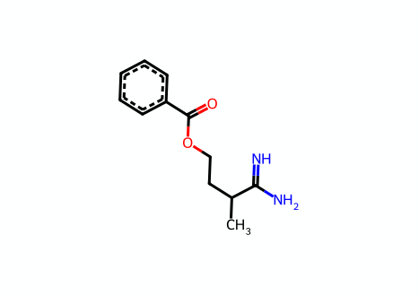 CC(CCOC(=O)c1ccccc1)C(=N)N